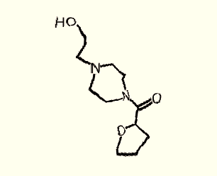 O=C(C1CCCO1)N1CCN(CCO)CC1